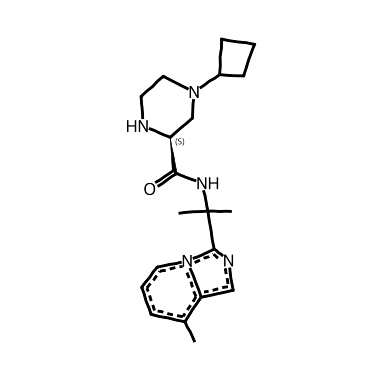 Cc1cccn2c(C(C)(C)NC(=O)[C@@H]3CN(C4CCC4)CCN3)ncc12